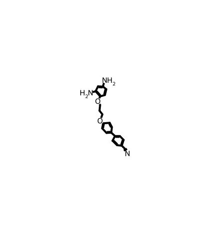 N#Cc1ccc(-c2ccc(OCCCOc3ccc(N)cc3N)cc2)cc1